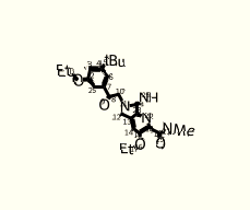 CCOc1[c]c(C(C)(C)C)cc(C(=O)CN2Cc3cc(OCC)c(C(=O)NC)nc3C2=N)c1